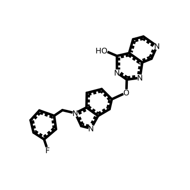 Oc1nc(Oc2ccc3c(c2)ncn3Cc2cccc(F)c2)nc2cnccc12